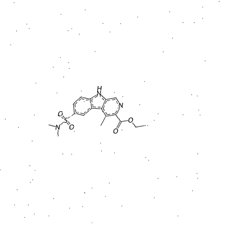 CCOC(=O)c1ncc2[nH]c3ccc(S(=O)(=O)N(C)C)cc3c2c1C